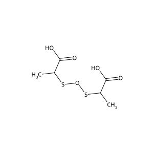 CC(SOSC(C)C(=O)O)C(=O)O